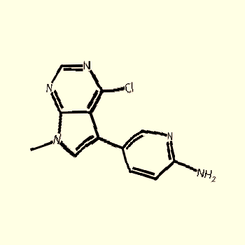 Cn1cc(-c2ccc(N)nc2)c2c(Cl)ncnc21